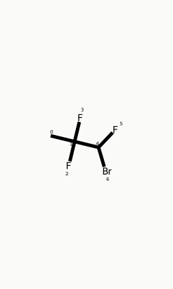 CC(F)(F)C(F)Br